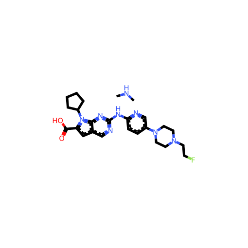 CNC.O=C(O)c1cc2cnc(Nc3ccc(N4CCN(CCF)CC4)cn3)nc2n1C1CCCC1